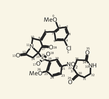 COc1ccc(Cl)cc1C=C1CN2C(=O)CC2(S(=O)(=O)c2cc([N+](=O)[O-])ccc2OC)C1=O.O=C1CCNC(=O)CC1